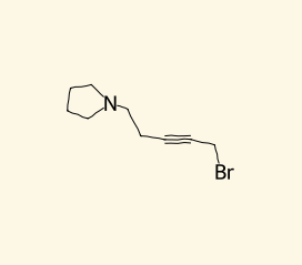 BrCC#CCCN1CCCC1